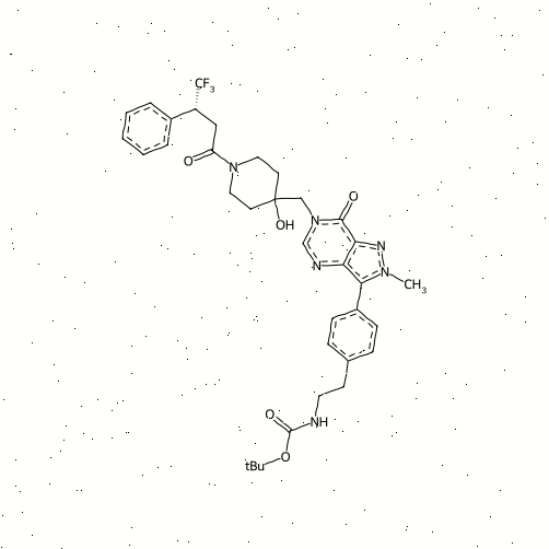 Cn1nc2c(=O)n(CC3(O)CCN(C(=O)C[C@H](c4ccccc4)C(F)(F)F)CC3)cnc2c1-c1ccc(CCNC(=O)OC(C)(C)C)cc1